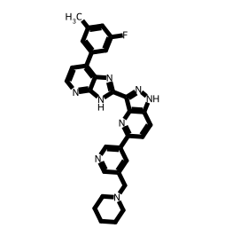 Cc1cc(F)cc(-c2ccnc3[nH]c(-c4n[nH]c5ccc(-c6cncc(CN7CCCCC7)c6)nc45)nc23)c1